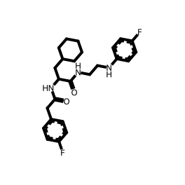 O=C(Cc1ccc(F)cc1)NC(CC1CCCCC1)C(=O)NCCNc1ccc(F)cc1